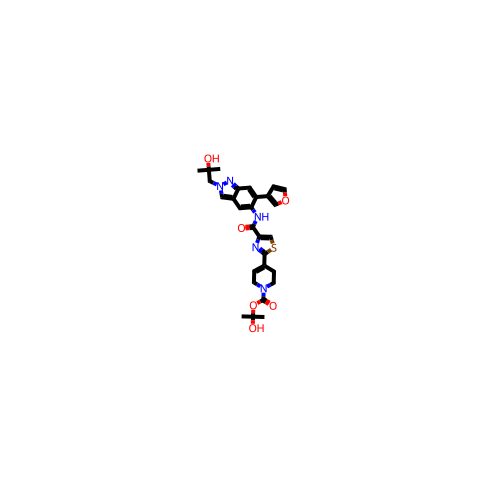 CC(C)(O)Cn1cc2cc(NC(=O)c3csc(C4=CCN(C(=O)OC(C)(C)O)CC4)n3)c(-c3ccoc3)cc2n1